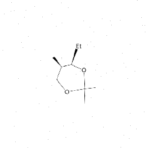 CC[C@H]1OC(C)(C)OC[C@H]1C